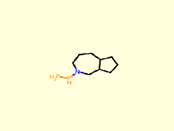 PPN1CCCC2CCCC2C1